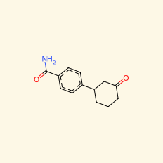 NC(=O)c1ccc(C2CCCC(=O)C2)cc1